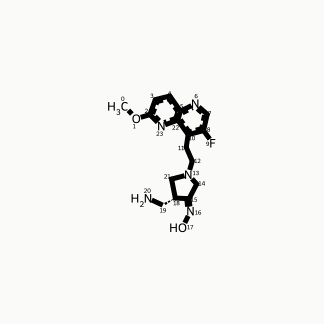 COc1ccc2ncc(F)c(CCN3CC(=NO)[C@H](CN)C3)c2n1